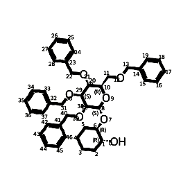 O[C@@H]1CCCC[C@H]1O[C@H]1O[C@H](COCc2ccccc2)[C@@H](OCc2ccccc2)[C@H](OCc2ccccc2)[C@@H]1OCc1ccccc1